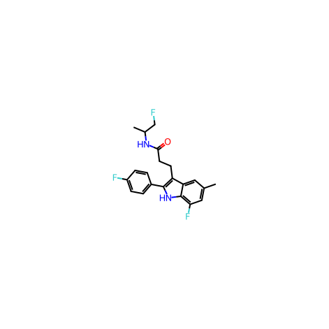 Cc1cc(F)c2[nH]c(-c3ccc(F)cc3)c(CCC(=O)NC(C)CF)c2c1